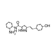 Nc1ccccc1NC(=O)c1cc(/C=C/c2ccc(O)cc2)n[nH]1